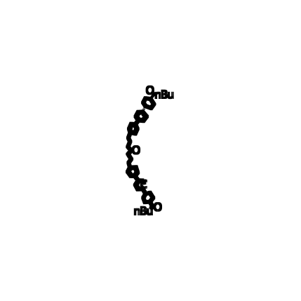 CCCCC(=O)C1CCC(c2ccc(-c3ccc(CCCC(=O)CCCc4ccc(-c5ccc([C@H]6CC[C@H](C(=O)CCCC)CC6)cc5)cc4)cc3)cc2)CC1